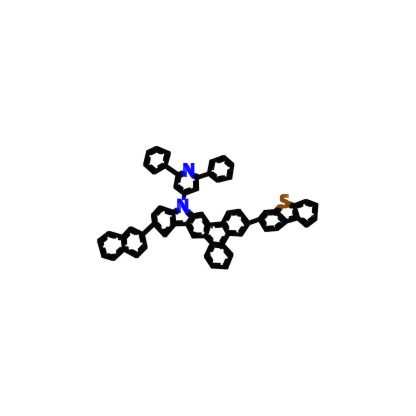 c1ccc(-c2cc(-n3c4ccc(-c5ccc6ccccc6c5)cc4c4cc5c6ccccc6c6cc(-c7ccc8c(c7)sc7ccccc78)ccc6c5cc43)cc(-c3ccccc3)n2)cc1